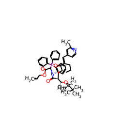 C=CCOC(=O)C(N1C(=O)[C@H]([C@@H](C)O[Si](C)(C)C(C)(C)C)[C@H]1[C@H]1CCC/C(=C\c2ccnc(C)c2)C1=O)=P(c1ccccc1)(c1ccccc1)c1ccccc1